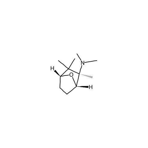 CN(C)[C@@]1(C)[C@@H]2CC[C@@H](O2)C1(C)C